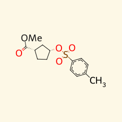 COC(=O)[C@H]1CC[C@@H](OS(=O)(=O)c2ccc(C)cc2)C1